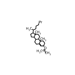 CC(C)CCCC(C)C1CCC2C3CCC4=C[C@@H](O[Si](C)C)CCC4(C)C3CCC12C